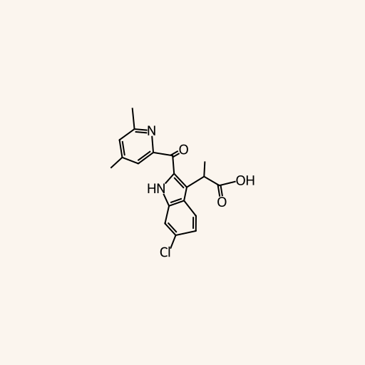 Cc1cc(C)nc(C(=O)c2[nH]c3cc(Cl)ccc3c2C(C)C(=O)O)c1